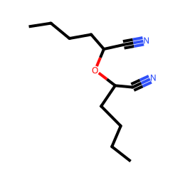 CCCCC(C#N)OC(C#N)CCCC